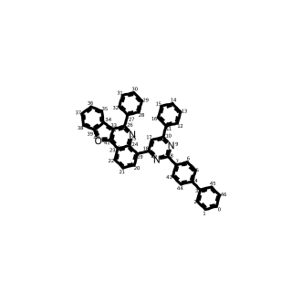 c1ccc(-c2ccc(-c3nc(-c4ccccc4)cc(-c4cccc5c4nc(-c4ccccc4)c4c6ccccc6oc54)n3)cc2)cc1